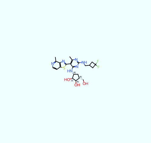 Cc1nc(NCC2CC(F)(F)C2)nc(N[C@@H]2C[C@H](CO)[C@@H](O)[C@H]2O)c1-c1nc2c(C)nccc2s1